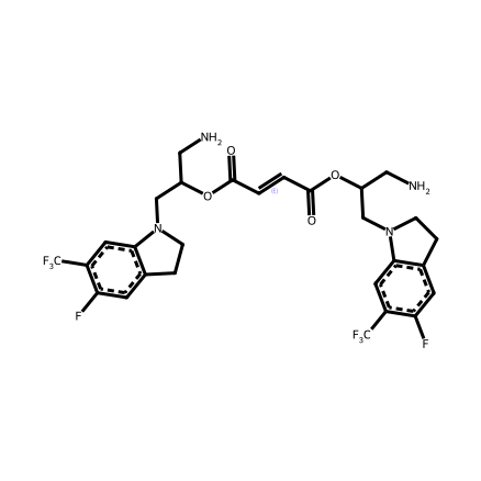 NCC(CN1CCc2cc(F)c(C(F)(F)F)cc21)OC(=O)/C=C/C(=O)OC(CN)CN1CCc2cc(F)c(C(F)(F)F)cc21